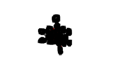 c1ccc(-c2cc(-c3ccccc3)c(-c3cc4c5c(cc6c(-c7c(-c8ccccc8)cc(-c8ccccc8)cc7-c7ccccc7)cc7c8c(cc3c5c68)B3c5ccccc5N(c5ccccc5)c5cc(-c6ccccc6)cc-7c53)B3c5ccccc5N(c5ccccc5)c5cc(-c6ccccc6)cc-4c53)c(-c3ccccc3)c2)cc1